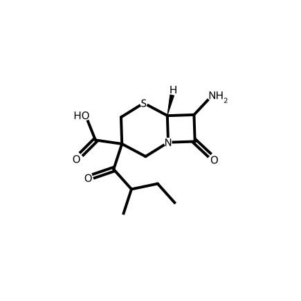 CCC(C)C(=O)C1(C(=O)O)CS[C@@H]2C(N)C(=O)N2C1